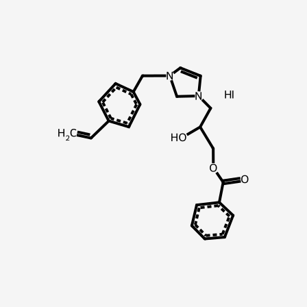 C=Cc1ccc(CN2C=CN(CC(O)COC(=O)c3ccccc3)C2)cc1.I